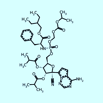 CCC(CC)COC(=O)[C@H](Cc1ccccc1)N[P@@](=O)(OCOC(=O)OC(C)C)OC[C@H]1O[C@@](C#N)(c2ccc3c(N)ncnn23)[C@H](OC(=O)C(C)C)[C@@H]1OC(=O)C(C)C